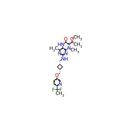 CO[C@H](C)[C@H]1C(=O)Nc2c(C)nc(NC[C@H]3C[C@@H](COc4ccc(C(C)(F)F)nc4)C3)nc2N1C